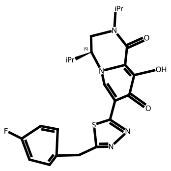 CC(C)[C@H]1CN(C(C)C)C(=O)c2c(O)c(=O)c(-c3nnc(Cc4ccc(F)cc4)s3)cn21